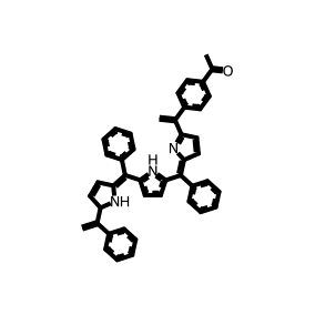 C=C(C1=N/C(=C(/c2ccccc2)c2ccc(/C(=C3/C=CC(C(=C)c4ccccc4)N3)c3ccccc3)[nH]2)C=C1)c1ccc(C(C)=O)cc1